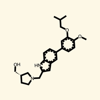 COc1ccc(-c2ccc3[nH]c(CN4CC[C@H](CO)C4)cc3c2)cc1OCC(C)C